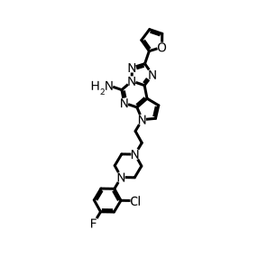 Nc1nc2c(ccn2CCN2CCN(c3ccc(F)cc3Cl)CC2)c2nc(-c3ccco3)nn12